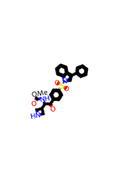 COC(=O)NC(C(=O)c1ccc(S(=O)(=O)n2cc(-c3ccccc3)c3ccccc32)cc1)C1CNC1